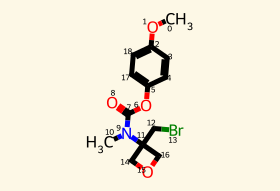 COc1ccc(OC(=O)N(C)C2(CBr)COC2)cc1